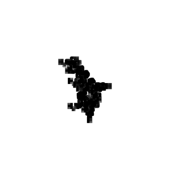 CN[C@@H](C)C(=O)CN[C@@H](CS)C(=O)C(=O)[C@@H]1CCCN1CC(=O)[C@H](C)NCN[C@@H](Cc1ccccc1)C(=O)C(=O)[C@@H]1CCCN1CC(=O)[C@H](Cc1c[nH]cn1)NC(=O)CNCC(=O)[C@H](Cc1c[nH]cn1)NC(=O)[C@H](CS)NC(=O)CN